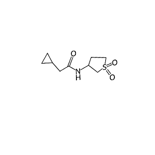 O=C(CC1CC1)NC1CCS(=O)(=O)C1